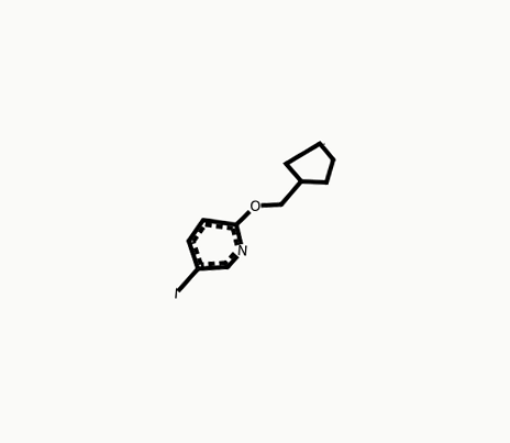 Ic1ccc(OCC2C[CH]CC2)nc1